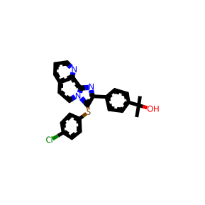 CC(C)(O)c1ccc(-c2nc3c4ncccc4ccn3c2Sc2ccc(Cl)cc2)cc1